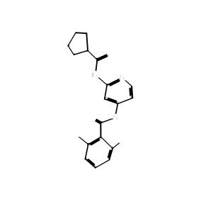 O=C(Nc1ccnc(NC(=O)C2CCCC2)c1)c1c(Cl)cccc1Cl